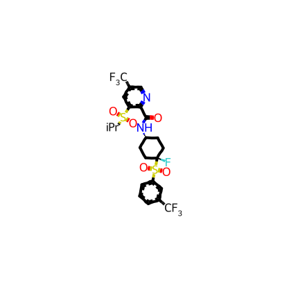 CC(C)S(=O)(=O)c1cc(C(F)(F)F)cnc1C(=O)N[C@H]1CC[C@@](F)(S(=O)(=O)c2cccc(C(F)(F)F)c2)CC1